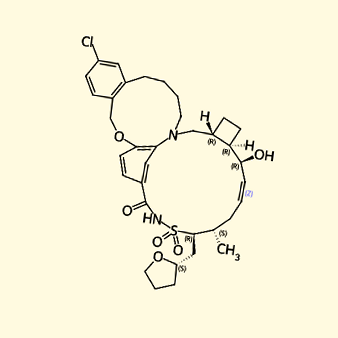 C[C@H]1C/C=C\[C@H](O)[C@@H]2CC[C@H]2CN2CCCCc3cc(Cl)ccc3COc3ccc(cc32)C(=O)NS(=O)(=O)[C@@H]1C[C@@H]1CCCO1